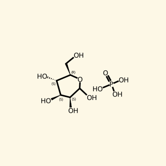 O=P(O)(O)O.OC[C@H]1OC(O)[C@@H](O)[C@@H](O)[C@@H]1O